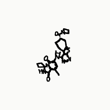 Cc1cc(Nc2ncnc3sc4c(c23)CC[C@H](C(=O)N2CCC2)C4)c(=O)n2c1C(=O)NC21CCC1